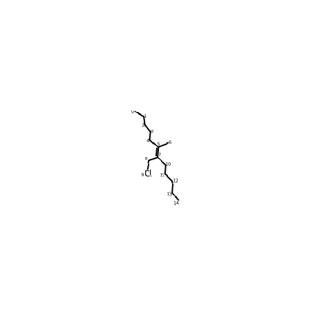 CCCCC/C(C)=C(\CCl)CCCCC